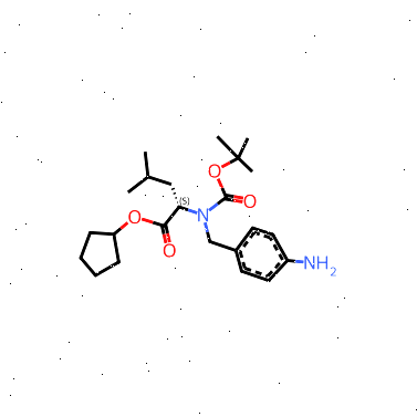 CC(C)C[C@@H](C(=O)OC1CCCC1)N(Cc1ccc(N)cc1)C(=O)OC(C)(C)C